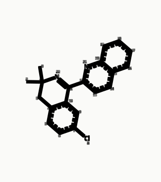 CC1(C)Cc2ccc(Cl)cc2C(c2ccc3ccccc3n2)=N1